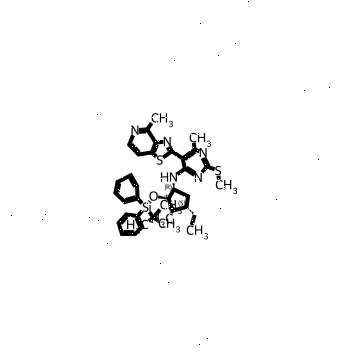 CC[C@H]1C[C@@H](Nc2nc(SC)nc(C)c2-c2nc3c(C)nccc3s2)[C@H](O[Si](c2ccccc2)(c2ccccc2)C(C)(C)C)[C@@H]1C